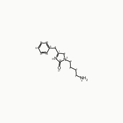 NCCCCN1CC(Cc2ccccc2)=NC1=O